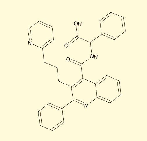 O=C(NC(C(=O)O)c1ccccc1)c1c(CCCc2ccccn2)c(-c2ccccc2)nc2ccccc12